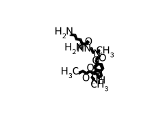 CCCC(=O)C1Oc2c(OC(=O)N(C)CCNC(=O)[C@@H](N)CCCCN)ccc3c2[C@]12C[C@@H](C3)N(C)C2